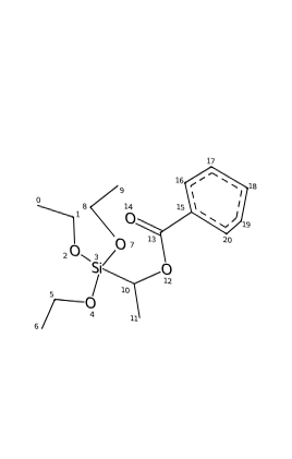 CCO[Si](OCC)(OCC)C(C)OC(=O)c1ccccc1